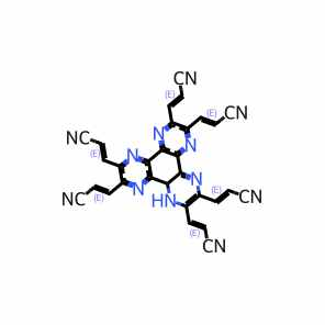 N#C/C=C/C1=C(/C=C/C#N)NC2C(=N1)c1nc(/C=C/C#N)c(/C=C/C#N)nc1-c1nc(/C=C/C#N)c(/C=C/C#N)nc12